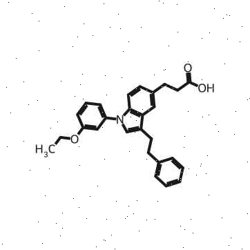 CCOc1cccc(-n2cc(CCc3ccccc3)c3cc(CCC(=O)O)ccc32)c1